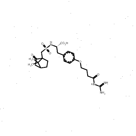 CC1(C)C2CCC1(CS(=O)(=O)N[C@@H](Cc1ccc(OCCCC(=O)NC(=N)N)cc1)C(=O)O)C(=O)C2